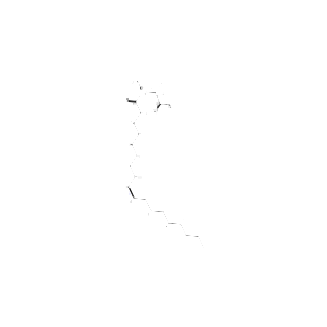 CCCCCCCC/C=C\CCCCCCCC(=O)N(C)[C@@H](C)C(=O)O